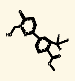 COC(=O)c1ccc(-c2ccc(=O)n(CO)n2)cc1C(F)(F)F